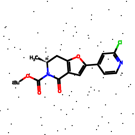 C[C@@H]1Cc2oc(-c3ccnc(Cl)c3)cc2C(=O)N1C(=O)OC(C)(C)C